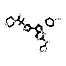 COC[C@H](C)Nc1ncc2c(-c3cnn(C(C)(C)C(=O)N4CCOCC4)c3)cc([C@H]3CC[C@@H](O)CC3)n2n1